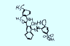 Cc1ccc(NC(=O)c2cc3ccccc3c(N=Nc3cc(S(=O)(=O)O)ccc3O)c2O)c(C)c1